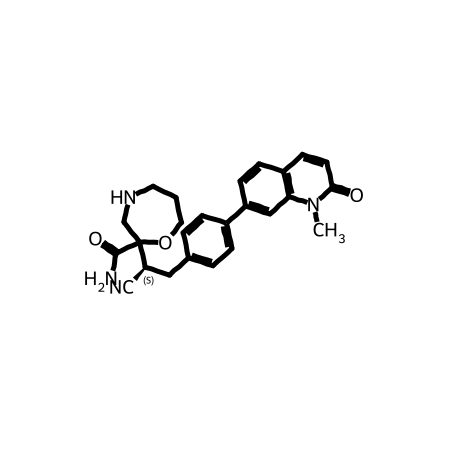 Cn1c(=O)ccc2ccc(-c3ccc(C[C@@H](C#N)C4(C(N)=O)CNCCCO4)cc3)cc21